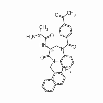 CC(=O)c1ccc(C(=O)N2C[C@H](NC(=O)[C@@H](C)N)C(=O)N(Cc3c(C)ccc4ccccc34)c3ccccc32)cc1